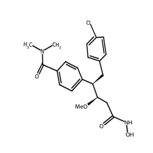 CO[C@H](CC(=O)NO)[C@H](Cc1ccc(Cl)cc1)c1ccc(C(=O)N(C)C)cc1